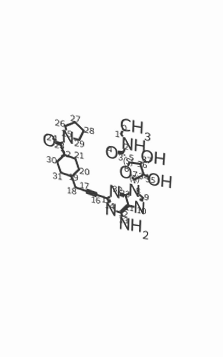 CCNC(=O)[C@H]1O[C@@H](n2cnc3c(N)nc(C#CCC4CCC(C(=O)N5CCCC5)CC4)nc32)C(O)C1O